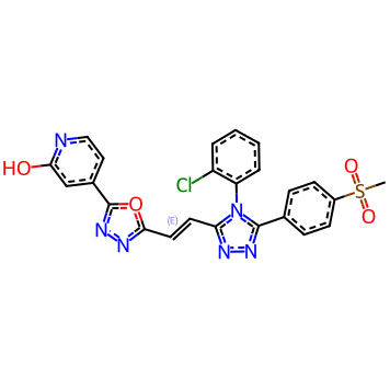 CS(=O)(=O)c1ccc(-c2nnc(/C=C/c3nnc(-c4ccnc(O)c4)o3)n2-c2ccccc2Cl)cc1